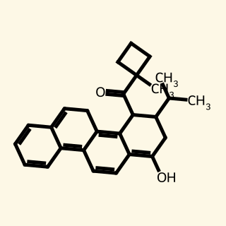 CC(C)C1CC(O)=c2ccc3c(c2C1C(=O)C1(C)CCC1)CC=c1ccccc1=3